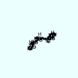 COc1cc2c(cc1OCCCC(=O)Nc1cc(C(=O)Nc3cc(C(=O)N4CCCCC4)n(C)c3)n(C)c1)N=C[C@@H]1CCCN1C2=O